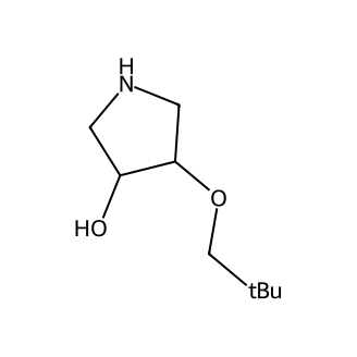 CC(C)(C)COC1CNCC1O